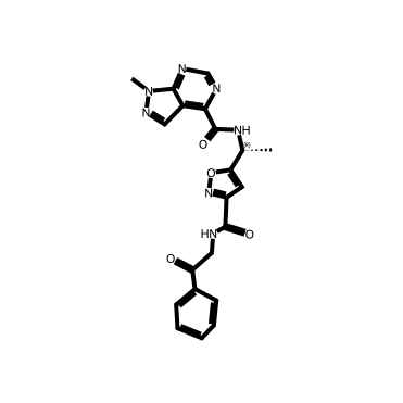 C[C@@H](NC(=O)c1ncnc2c1cnn2C)c1cc(C(=O)NCC(=O)c2ccccc2)no1